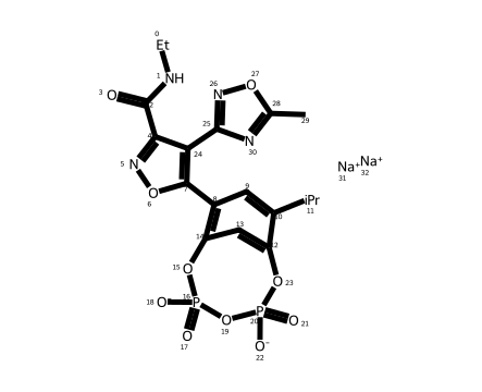 CCNC(=O)c1noc(-c2cc(C(C)C)c3cc2OP(=O)([O-])OP(=O)([O-])O3)c1-c1noc(C)n1.[Na+].[Na+]